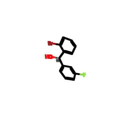 O[C@@H](c1cccc(F)c1)c1ccccc1Br